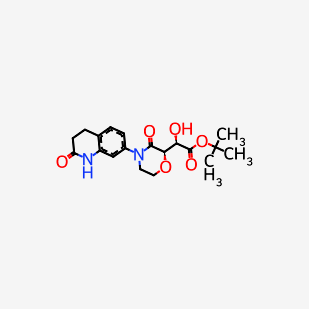 CC(C)(C)OC(=O)[C@H](O)[C@H]1OCCN(c2ccc3c(c2)NC(=O)CC3)C1=O